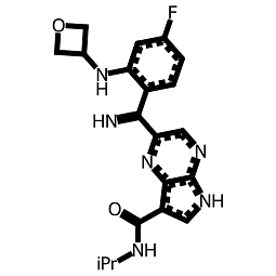 CC(C)NC(=O)c1c[nH]c2ncc(C(=N)c3ccc(F)cc3NC3COC3)nc12